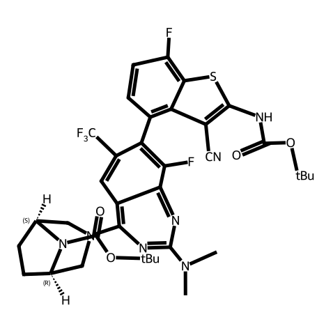 CN(C)c1nc(N2C[C@H]3CC[C@@H](C2)N3C(=O)OC(C)(C)C)c2cc(C(F)(F)F)c(-c3ccc(F)c4sc(NC(=O)OC(C)(C)C)c(C#N)c34)c(F)c2n1